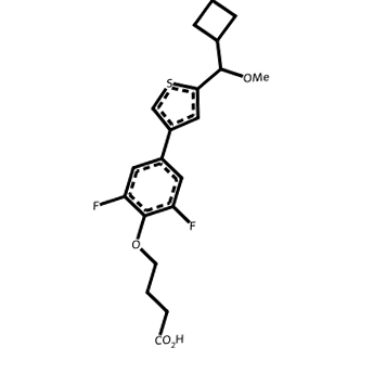 COC(c1cc(-c2cc(F)c(OCCCC(=O)O)c(F)c2)cs1)C1CCC1